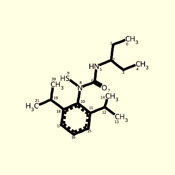 CCC(CC)NC(=O)N(S)c1c(C(C)C)cccc1C(C)C